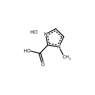 Cl.Cn1ccnc1C(=O)O